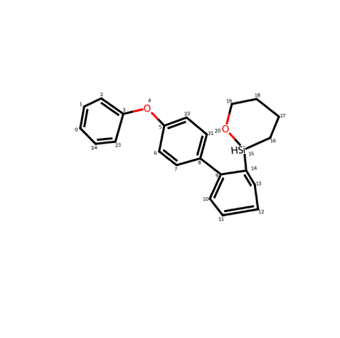 c1ccc(Oc2ccc(-c3ccccc3[SiH]3CCCCO3)cc2)cc1